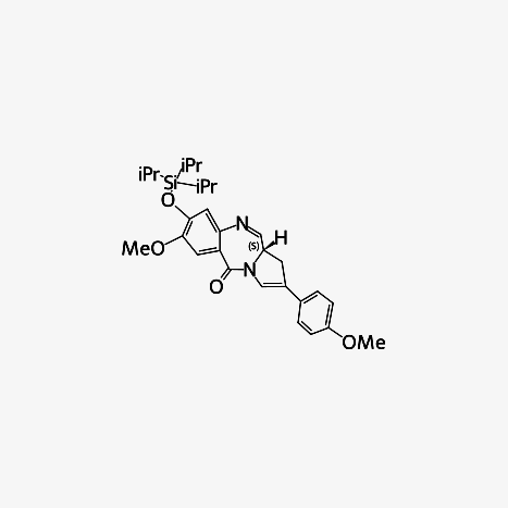 COc1ccc(C2=CN3C(=O)c4cc(OC)c(O[Si](C(C)C)(C(C)C)C(C)C)cc4N=C[C@@H]3C2)cc1